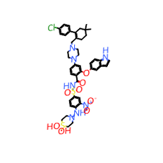 CC1(C)CCC(CN2CCN(c3ccc(C(=O)NS(=O)(=O)c4ccc(NN5CCS(O)(O)CC5)c([N+](=O)[O-])c4)c(Oc4ccc5[nH]ccc5c4)c3)CC2)=C(c2ccc(Cl)cc2)C1